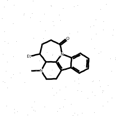 CCC1CCC(=O)n2c3c(c4ccccc42)CCN(C)C31